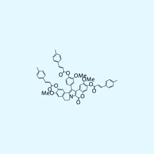 COc1cc(-c2c3n(c4c(=O)oc5cc(OC(=O)/C=C/c6ccc(C)cc6)c(OC)cc5c24)CCc2cc(OC)c(OC(=O)/C=C/c4ccc(C)cc4)cc2-3)ccc1OC(=O)/C=C/c1ccc(C)cc1